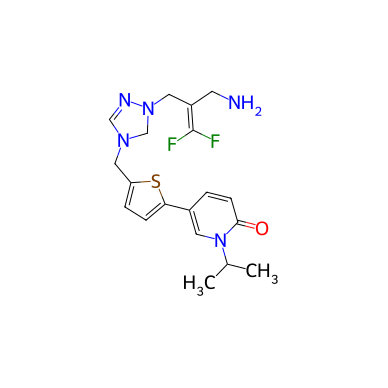 CC(C)n1cc(-c2ccc(CN3C=NN(CC(CN)=C(F)F)C3)s2)ccc1=O